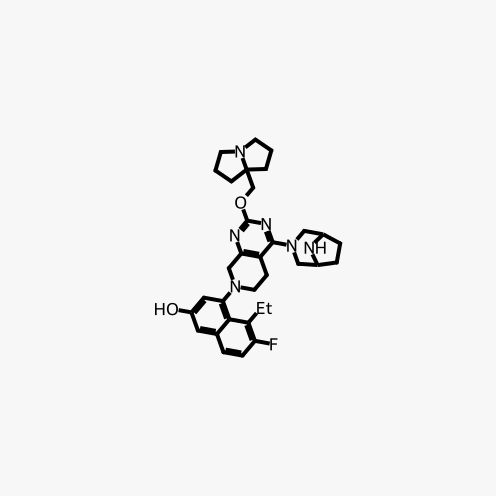 CCc1c(F)ccc2cc(O)cc(N3CCc4c(nc(OCC56CCCN5CCC6)nc4N4CC5CCC(C4)N5)C3)c12